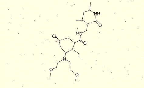 COCCN(CCOC)C1C[C@@H](Cl)CC(C(=O)NCC2C(=O)NC(C)CC2C)C1C